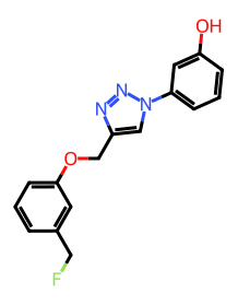 Oc1cccc(-n2cc(COc3cccc(CF)c3)nn2)c1